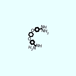 N=C(N)c1ccc(O[C@H]2CC[C@@H](Oc3ccc(C(=N)N)cc3)CC2)cc1